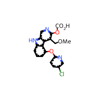 COCc1c(OC(=O)O)ncc2[nH]c3cccc(Oc4ccc(Cl)cn4)c3c12